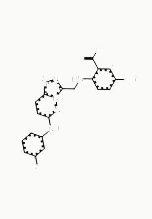 O=C(O)c1cc(O)ccc1NCc1nnc2ccc(Nc3cccc(Cl)c3)nn12